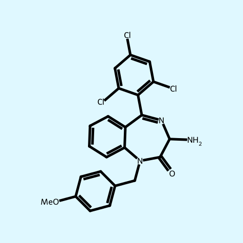 COc1ccc(CN2C(=O)C(N)N=C(c3c(Cl)cc(Cl)cc3Cl)c3ccccc32)cc1